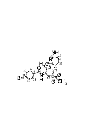 CC1(c2cc(NC(=O)c3ccc(Br)cc3)cc(S(C)(=O)=O)c2)CCSC(N)=N1